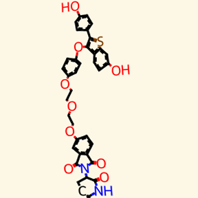 O=C1CCC(N2C(=O)c3ccc(OCCOCCOc4ccc(Oc5c(-c6ccc(O)cc6)sc6cc(O)ccc56)cc4)cc3C2=O)C(=O)N1